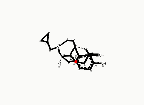 CO[C@@]12CCC(=O)C[C@@]13CCN(CC1CC1)[C@@H]2Cc1ccc(O)cc13